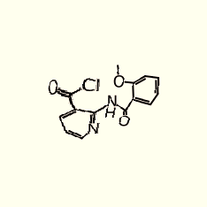 COc1ccccc1C(=O)Nc1ncccc1C(=O)Cl